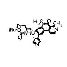 Cc1nccc2c1c(=O)n(C)c1cc(OCC(CC(C)C)NC(=O)OC(C)(C)C)c(-c3cncs3)cc21